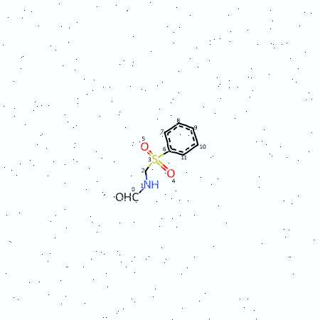 O=[C]NCS(=O)(=O)c1ccccc1